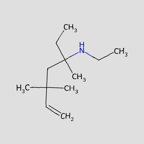 C=CC(C)(C)CC(C)(CC)NCC